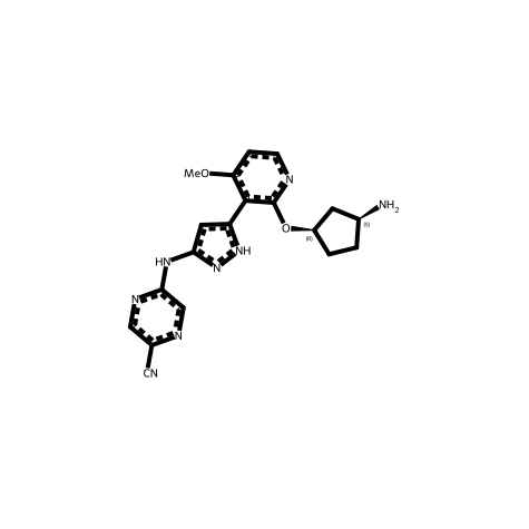 COc1ccnc(O[C@@H]2CC[C@H](N)C2)c1-c1cc(Nc2cnc(C#N)cn2)n[nH]1